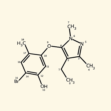 CCc1c(C)nn(C)c1Oc1cc(O)c(Br)cc1C